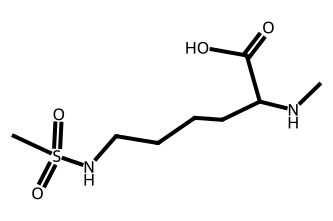 CNC(CCCCNS(C)(=O)=O)C(=O)O